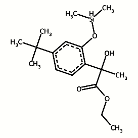 CCOC(=O)C(C)(O)c1ccc(C(C)(C)C)cc1O[SiH](C)C